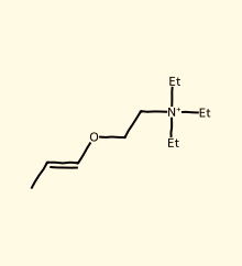 C/C=C/OCC[N+](CC)(CC)CC